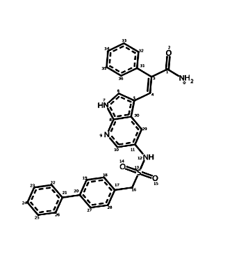 NC(=O)/C(=C/c1c[nH]c2ncc(NS(=O)(=O)Cc3ccc(-c4ccccc4)cc3)cc12)c1ccccc1